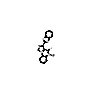 CC(C)n1c(=O)c2c(-c3nc4ccccc4o3)ncn2c2ccccc21